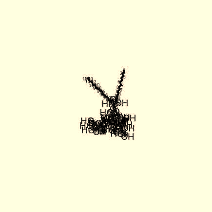 CCCCCCCCCCCCC/C=C/[C@@H](O)[C@H](CO[C@@H]1OC(CO)[C@@H](O[C@@H]2OC(CO)[C@H](O[C@@H]3OC(CO)[C@H](O)[C@H](O[C@@H]4OC(CO)[C@H](O)[C@H](O)C4O)C3NC(C)=O)[C@H](O[C@]3(C(=O)O)CC(O)[C@@H](NC(=O)CO)C([C@H](O)[C@H](O)CO)O3)C2O)[C@H](O)C1O)NC(=O)CCCCCCCCCCCCCCC